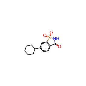 O=C1NS(=O)(=O)c2cc(C3CCCCC3)ccc21